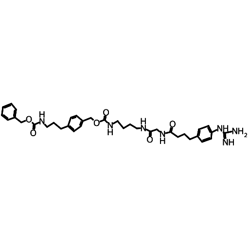 N=C(N)Nc1ccc(CCCC(=O)NCC(=O)NCCCCNC(=O)OCc2ccc(CCCNC(=O)OCc3ccccc3)cc2)cc1